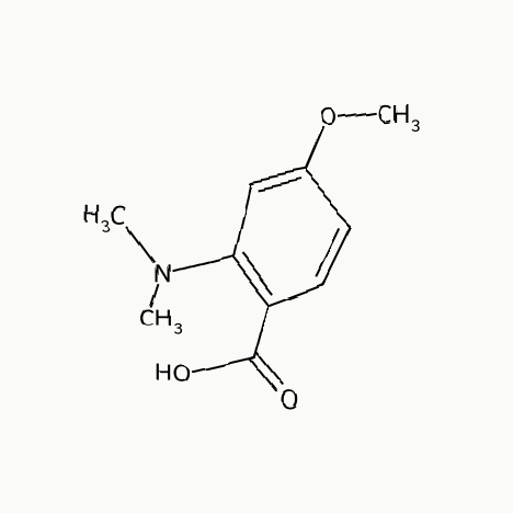 COc1ccc(C(=O)O)c(N(C)C)c1